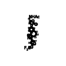 CC(=O)NC[C@H]1CN(c2ccc3c(c2)CCCc2c(-c4coc(OC(F)(F)F)c4)noc2-3)C(=O)O1